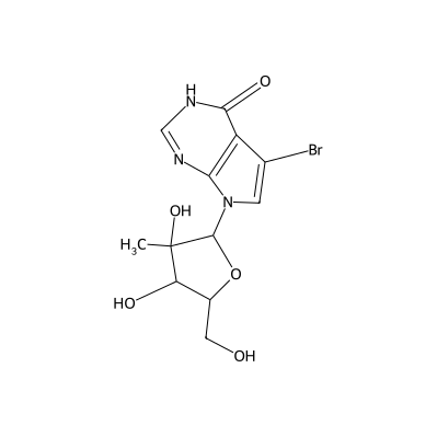 CC1(O)C(O)C(CO)OC1n1cc(Br)c2c(=O)[nH]cnc21